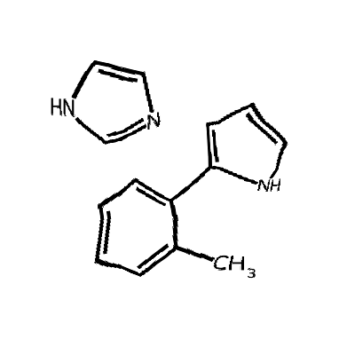 Cc1ccccc1-c1ccc[nH]1.c1c[nH]cn1